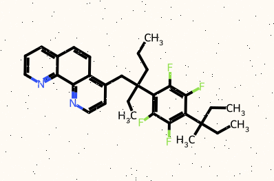 CCCC(CC)(Cc1ccnc2c1ccc1cccnc12)c1c(F)c(F)c(C(C)(CC)CC)c(F)c1F